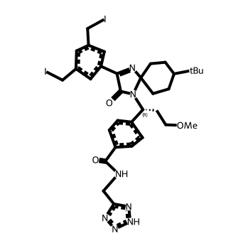 COCC[C@H](c1ccc(C(=O)NCc2nn[nH]n2)cc1)N1C(=O)C(c2cc(CI)cc(CI)c2)=NC12CCC(C(C)(C)C)CC2